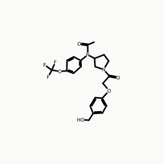 CC(=O)N(c1ccc(OC(F)(F)F)cc1)C1CCN(C(=O)COc2ccc(CO)cc2)C1